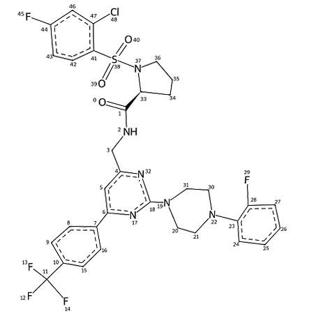 O=C(NCc1cc(-c2ccc(C(F)(F)F)cc2)nc(N2CCN(c3ccccc3F)CC2)n1)[C@@H]1CCCN1S(=O)(=O)c1ccc(F)cc1Cl